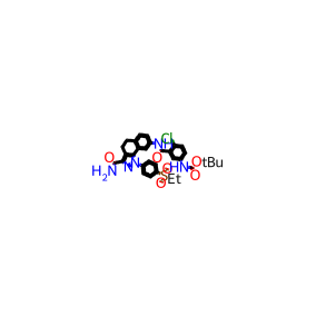 CCS(=O)(=O)c1ccc(-n2nc(C(N)=O)c3c2-c2cc(NC(=O)c4cc(NC(=O)OC(C)(C)C)ccc4Cl)ccc2CC3)cc1